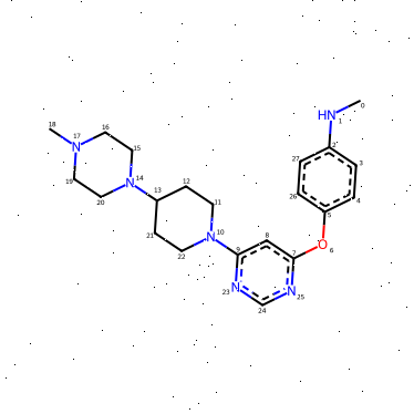 CNc1ccc(Oc2cc(N3CCC(N4CCN(C)CC4)CC3)ncn2)cc1